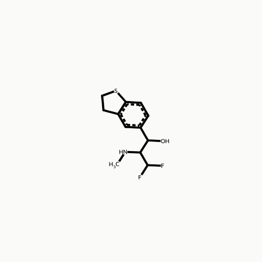 CNC(C(F)F)C(O)c1ccc2c(c1)CCS2